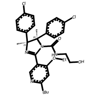 CCOc1cc(C(C)(C)C)ncc1C1=N[C@@](C)(c2ccc(Cl)cc2)[C@@](C)(c2ccc(Cl)cc2)N1C(=O)NCCO